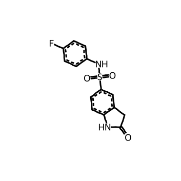 O=C1Cc2cc(S(=O)(=O)Nc3ccc(F)cc3)ccc2N1